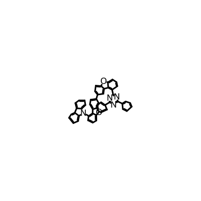 c1ccc(-c2nc(-c3ccccc3)nc(-c3cccc4oc5ccc(-c6ccc7c(c6)oc6cccc(-n8c9ccccc9c9ccccc98)c67)cc5c34)n2)cc1